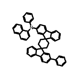 c1ccc(-c2ccc3c(c2)C2(CCC4(CC2)c2ccccc2-c2ccc(N(c5ccccc5)c5cccc6ccccc56)cc24)c2ccccc2-3)cc1